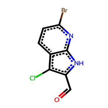 O=Cc1[nH]c2nc(Br)ccc2c1Cl